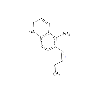 C=C/C=C\c1ccc2c(c1N)C=CCN2